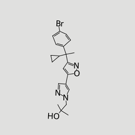 CC(C)(O)Cn1cc(-c2cc(C(C)(c3ccc(Br)cc3)C3CC3)no2)cn1